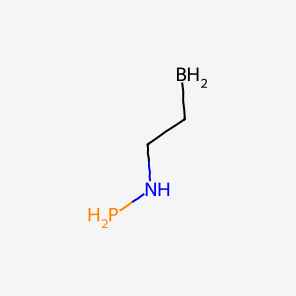 BCCNP